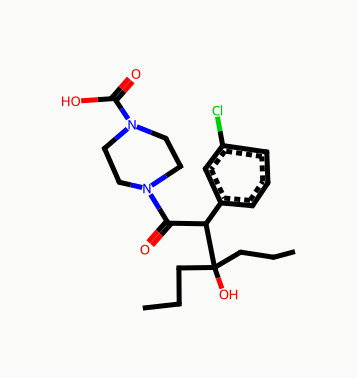 CCCC(O)(CCC)C(C(=O)N1CCN(C(=O)O)CC1)c1cccc(Cl)c1